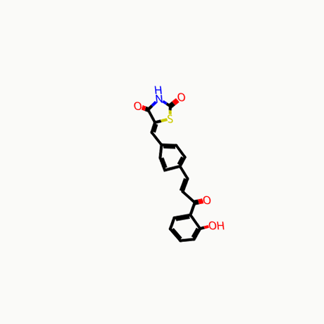 O=C1NC(=O)C(=Cc2ccc(/C=C/C(=O)c3ccccc3O)cc2)S1